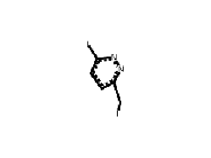 ICc1ccc(I)nn1